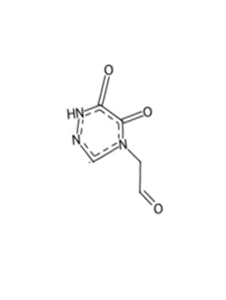 O=CCn1[c]n[nH]c(=O)c1=O